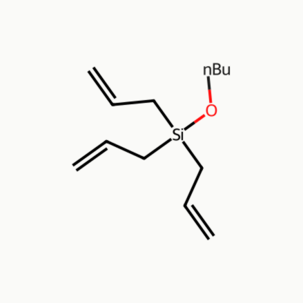 C=CC[Si](CC=C)(CC=C)OCCCC